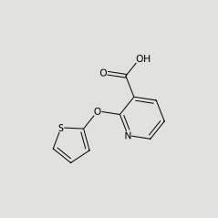 O=C(O)c1cccnc1Oc1cccs1